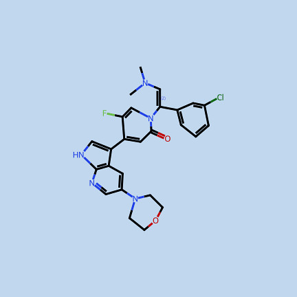 CN(C)/C=C(/c1cccc(Cl)c1)n1cc(F)c(-c2c[nH]c3ncc(N4CCOCC4)cc23)cc1=O